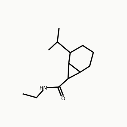 CCNC(=O)C1C2CCCC(C(C)C)C21